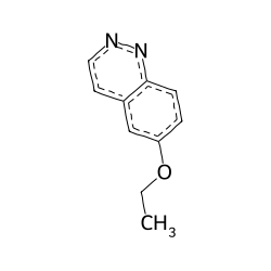 CCOc1ccc2nnccc2c1